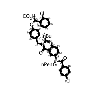 CCCCCN(C(=O)c1ccc(Cl)cc1)c1ccc2nc(CCCC)n(Cc3ccc(OC(C(=O)O)c4ccccc4Cl)cc3)c(=O)c2c1